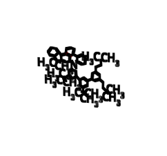 CC(C)CCc1cc(CCC(C)C)cc(-c2cc(-c3cc(N(c4ccc5c(c4)C(C)(C)c4ccccc4-5)c4ccccc4-c4ccccc4)cc(C(C)(C)C)c3)cc(C(C)(C)C)c2)c1